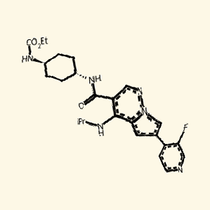 CCOC(=O)N[C@H]1CC[C@H](NC(=O)c2cnn3cc(-c4ccncc4F)cc3c2NC(C)C)CC1